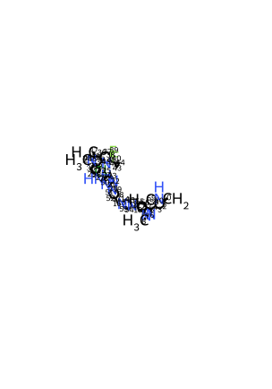 C=C1CCC(c2nn(C)c3cc(N4CCN(CC5CCN(c6ncc(Cl)c(Nc7ccc8c(c7)C7=C(CCC(F)(F)C(C9CC9)N7)C(=C)N8C)n6)CC5)CC4)ccc23)C(=C)N1